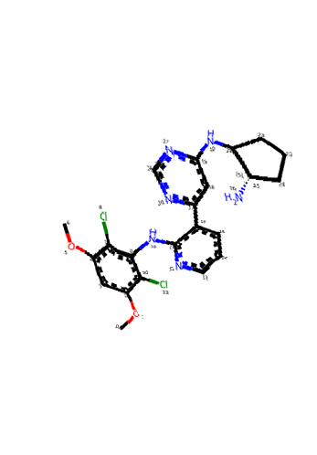 COc1cc(OC)c(Cl)c(Nc2ncccc2-c2cc(NC3CCC[C@@H]3N)ncn2)c1Cl